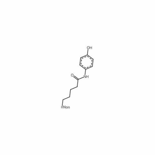 CCCCCCCCCCCCCC(=O)Nc1ccc(O)cc1